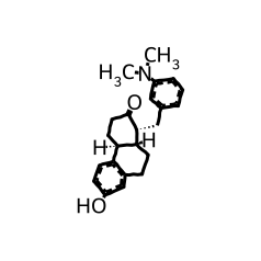 CN(C)c1cccc(C[C@H]2C(=O)CC[C@@H]3c4ccc(O)cc4CC[C@H]32)c1